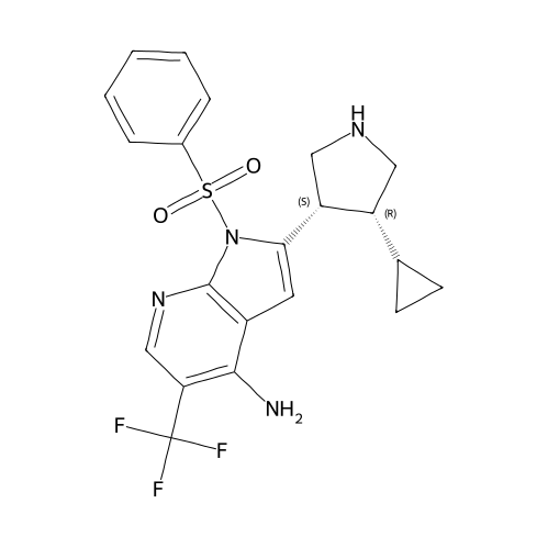 Nc1c(C(F)(F)F)cnc2c1cc([C@@H]1CNC[C@@H]1C1CC1)n2S(=O)(=O)c1ccccc1